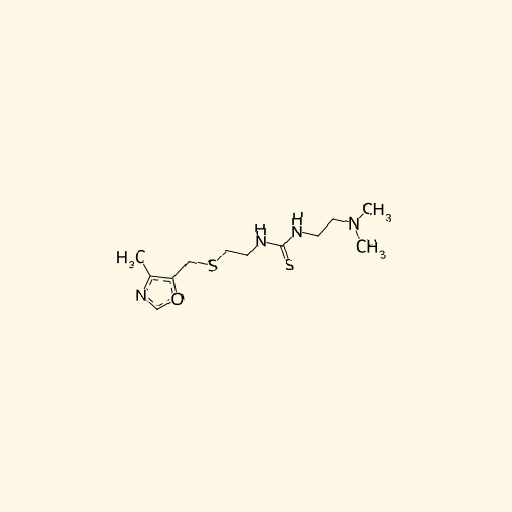 Cc1ncoc1CSCCNC(=S)NCCN(C)C